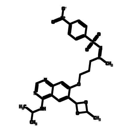 CC(C)Nc1ncnc2cc(OCCC/S(C)=N\S(=O)(=O)c3ccc([N+](=O)[O-])cc3)c(C3OC(C)O3)cc12